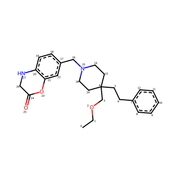 CCOCC1(CCc2ccccc2)CCN(Cc2ccc3c(c2)OC(=O)CN3)CC1